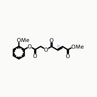 COC(=O)/C=C/C(=O)OCC(=O)Oc1ccccc1OC